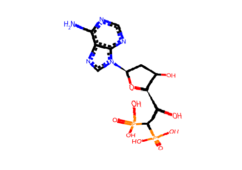 Nc1ncnc2c1ncn2[C@H]1CC(O)[C@@H](C(O)C(P(=O)(O)O)P(=O)(O)O)O1